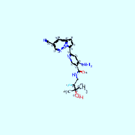 CC(C)(O)C(F)CNC(=O)c1cnc(-c2ccc3cc(C#N)cnn23)cc1N